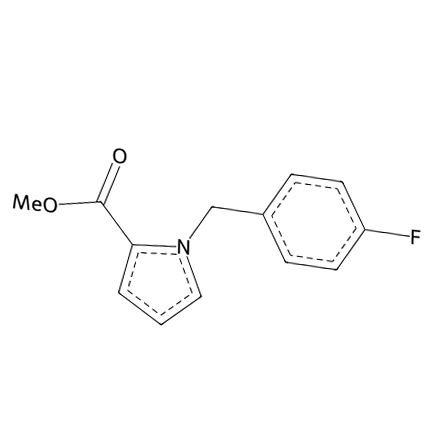 COC(=O)c1cccn1Cc1ccc(F)cc1